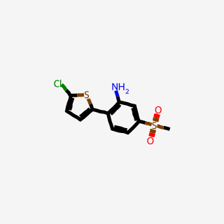 CS(=O)(=O)c1ccc(-c2ccc(Cl)s2)c(N)c1